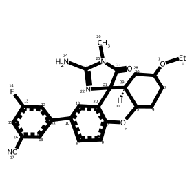 CCOC1CCC2Oc3ccc(-c4cc(F)cc(C#N)c4)cc3C3(N=C(N)N(C)C3=O)[C@H]2C1